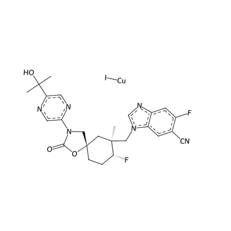 CC(C)(O)c1cnc(N2C[C@@]3(CC[C@@H](F)[C@](C)(Cn4cnc5cc(F)c(C#N)cc54)C3)OC2=O)cn1.[Cu][I]